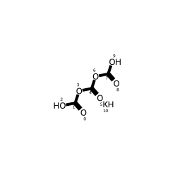 O=C(O)OC(=O)OC(=O)O.[KH]